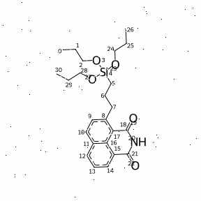 CCCO[Si](CCCc1ccc2cccc3c2c1C(=O)NC3=O)(OCCC)OCCC